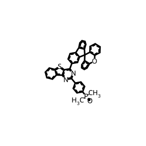 CP(C)(=O)c1ccc(-c2nc(-c3ccc4c(c3)C3(c5ccccc5Oc5ccccc53)c3ccccc3-4)c3sc4ccccc4c3n2)cc1